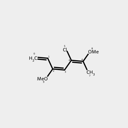 C=C/C(=C\C(Cl)=C(/C)OC)OC